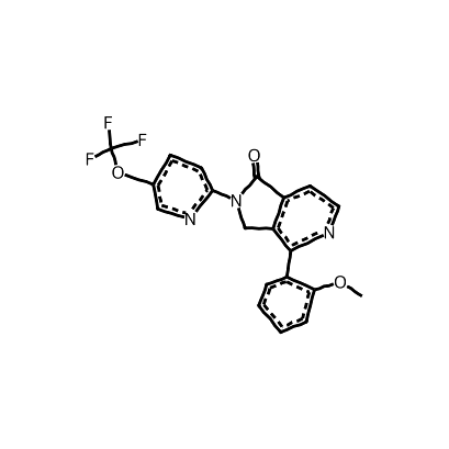 COc1ccccc1-c1nccc2c1CN(c1ccc(OC(F)(F)F)cn1)C2=O